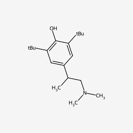 CC(CN(C)C)c1cc(C(C)(C)C)c(O)c(C(C)(C)C)c1